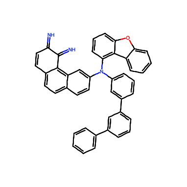 N=C1C=Cc2ccc3ccc(N(c4cccc(-c5cccc(-c6ccccc6)c5)c4)c4cccc5oc6ccccc6c45)cc3c2C1=N